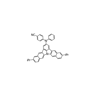 CC(C)c1ccc2cc3c(cc2c1)c1cc(N(c2ccccc2)c2ccc(C#N)cc2)cc2c4cc5cc(C(C)C)ccc5cc4n3c12